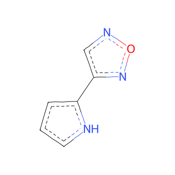 c1c[nH]c(-c2cnon2)c1